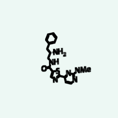 CNc1nccc(-c2ncc(C(=O)NC[C@@H](N)Cc3ccccc3)s2)n1